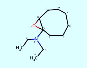 CCN(CC)C12CCCCCCC1O2